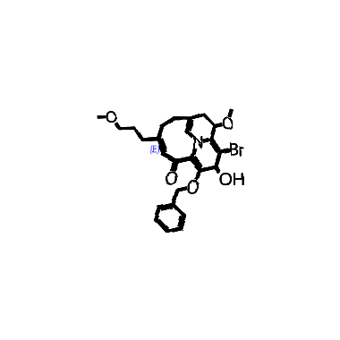 COCCC/C1=C/C(=O)C2=C(OCc3ccccc3)C(O)C(Br)=C3C(OC)CC(=CN23)CC1